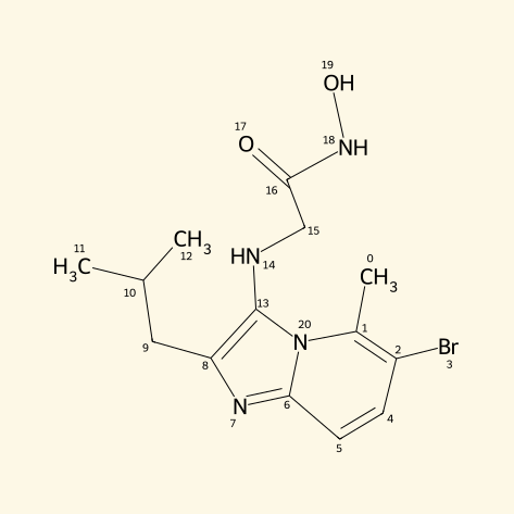 Cc1c(Br)ccc2nc(CC(C)C)c(NCC(=O)NO)n12